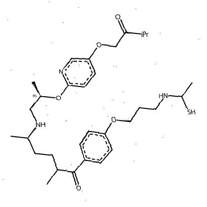 CC(S)NCCCOc1ccc(C(=O)C(C)CCC(C)NC[C@@H](C)Oc2ccc(OCC(=O)C(C)C)cn2)cc1